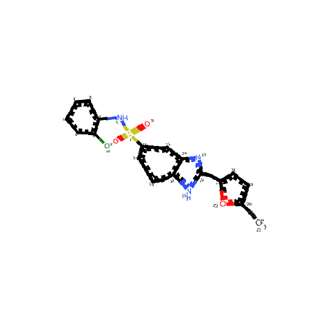 O=S(=O)(Nc1ccccc1Cl)c1ccc2[nH]c(-c3ccc(C(F)(F)F)o3)nc2c1